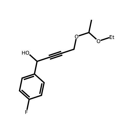 CCOC(C)OCC#CC(O)c1ccc(F)cc1